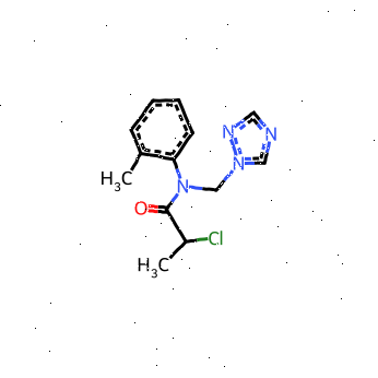 Cc1ccccc1N(Cn1cncn1)C(=O)C(C)Cl